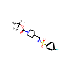 CC(C)(C)OC(=O)N1CCC(CNS(=O)(=O)c2ccc(F)cc2)CC1